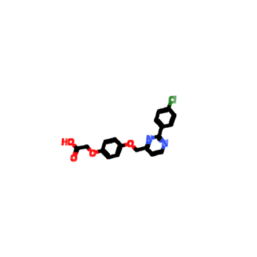 O=C(O)COc1ccc(OCc2ccnc(-c3ccc(Cl)cc3)n2)cc1